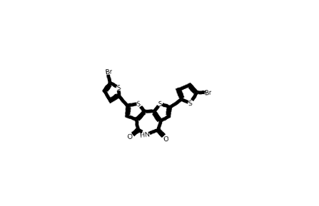 O=c1[nH]c(=O)c2cc(-c3ccc(Br)s3)sc2c2sc(-c3ccc(Br)s3)cc12